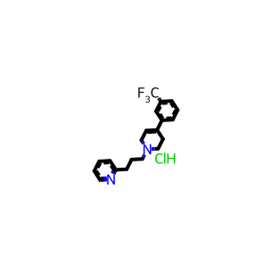 Cl.FC(F)(F)c1cccc(C2=CCN(CCCc3ccccn3)CC2)c1